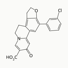 O=C(O)c1cn2c(cc1=O)-c1cc(-c3cccc(Cl)c3)c3c(c1CC2)CCO3